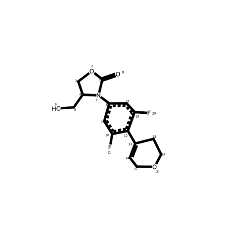 O=C1OCC(CO)N1c1cc(F)c(C2=CCOCC2)c(F)c1